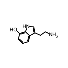 NCCc1c[nH]c2c(O)cccc12